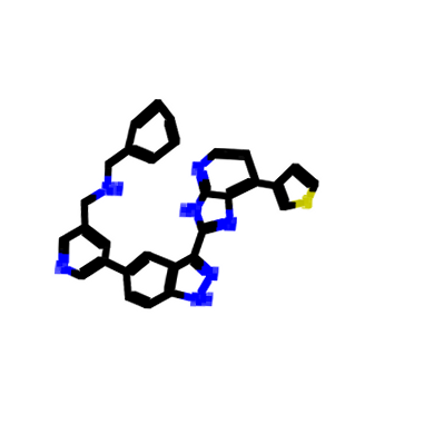 c1ccc(CNCc2cncc(-c3ccc4[nH]nc(-c5nc6c(-c7ccsc7)ccnc6[nH]5)c4c3)c2)cc1